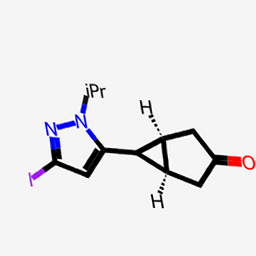 CC(C)n1nc(I)cc1C1[C@H]2CC(=O)C[C@@H]12